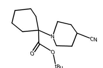 CC(C)(C)OC(=O)C1(N2CCC(C#N)CC2)CCCCC1